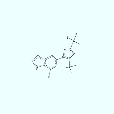 CC(C)(F)c1nc(C(F)(F)F)cn1-c1cc(Cl)c2[nH]ncc2c1